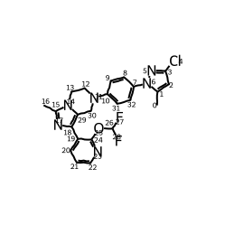 Cc1cc(Cl)nn1-c1ccc(N2CCn3c(C)nc(-c4cccnc4OC(F)F)c3C2)cc1